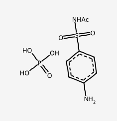 CC(=O)NS(=O)(=O)c1ccc(N)cc1.O=P(O)(O)O